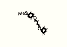 CSc1ccc(OCCCCOc2ccccc2)cc1